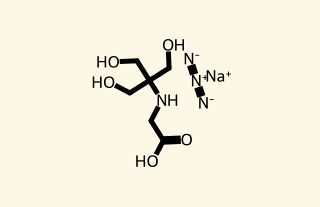 O=C(O)CNC(CO)(CO)CO.[N-]=[N+]=[N-].[Na+]